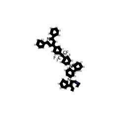 C=Cc1c(/C=C\C)n(-c2ccc3c(c2)c2ccccc2n3-c2ccc(C(c3ccc(-c4cc(-c5ccccc5)nc(-c5ccccc5)c4)cc3)(C(F)(F)F)C(F)(F)F)cc2)c2ccccc12